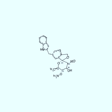 C[C@H]1O[C@]2(OCc3ccc(Cc4cc5ccccc5[nH]4)cc32)[C@H](N=O)[C@@H](O)[C@@H]1ON